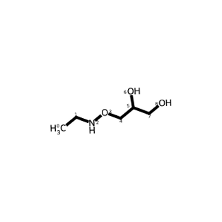 CCNOCC(O)CO